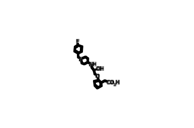 O=C(O)Cc1ccccc1OC[C@H](O)CNC1CCN(Cc2ccc(F)cc2)CC1